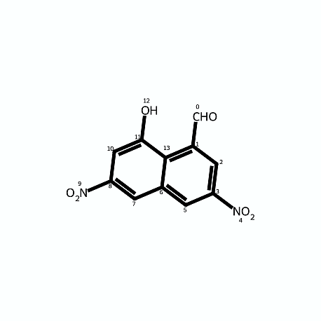 O=Cc1cc([N+](=O)[O-])cc2cc([N+](=O)[O-])cc(O)c12